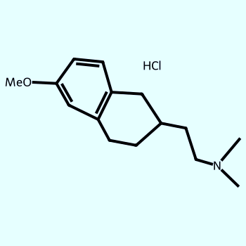 COc1ccc2c(c1)CCC(CCN(C)C)C2.Cl